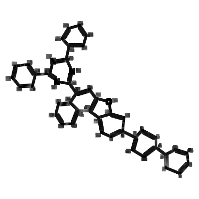 c1ccc(-c2ccc(-c3ccc4c(c3)oc3cc(-c5nc(-c6ccccc6)nc(-c6ccccc6)n5)c5ccccc5c34)cc2)cc1